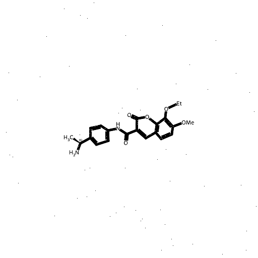 CCOc1c(OC)ccc2cc(C(=O)Nc3ccc([C@H](C)N)cc3)c(=O)oc12